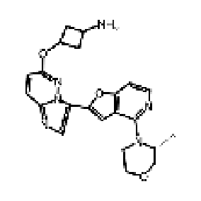 C[C@@H]1COCCN1c1nccc2oc(-c3cnc4ccc(OC5CC(N)C5)nn34)cc12